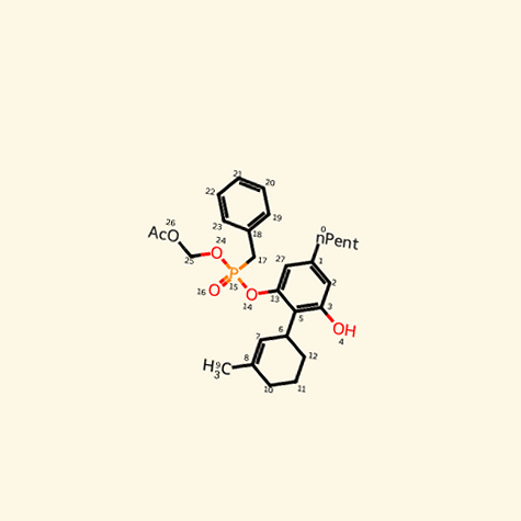 CCCCCc1cc(O)c(C2C=C(C)CCC2)c(OP(=O)(Cc2ccccc2)OCOC(C)=O)c1